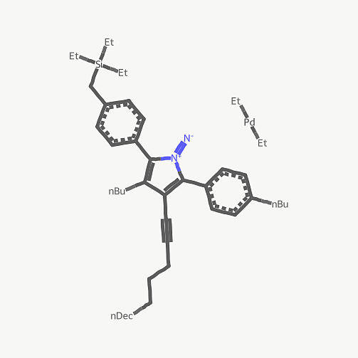 CCCCCCCCCCCCCC#CC1=C(c2ccc(CCCC)cc2)[N+](=[N-])C(c2ccc(C[Si](CC)(CC)CC)cc2)=C1CCCC.C[CH2][Pd][CH2]C